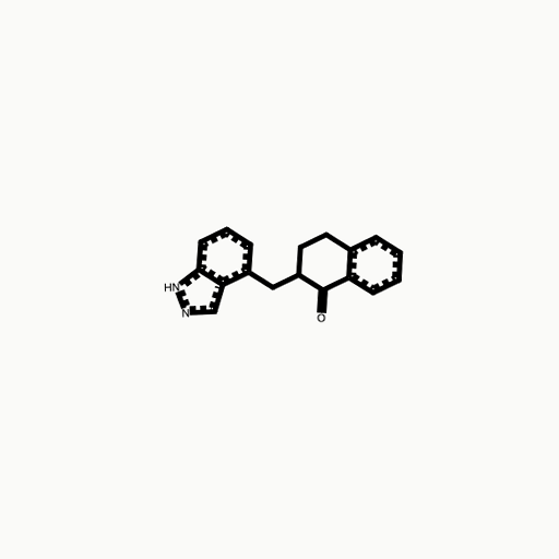 O=C1c2ccccc2CCC1Cc1cccc2[nH]ncc12